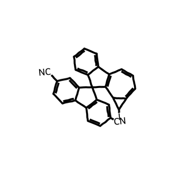 N#Cc1ccc2c(c1)C1(C3=C(C=CC=C4C(I)C43)c3ccccc31)c1cc(C#N)ccc1-2